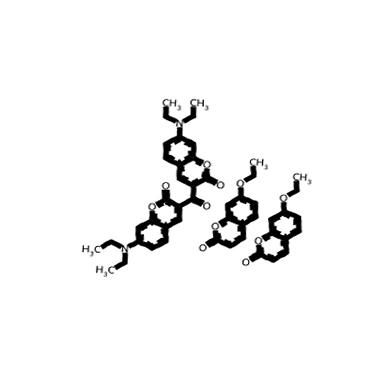 CCN(CC)c1ccc2cc(C(=O)c3cc4ccc(N(CC)CC)cc4oc3=O)c(=O)oc2c1.CCOc1ccc2ccc(=O)oc2c1.CCOc1ccc2ccc(=O)oc2c1